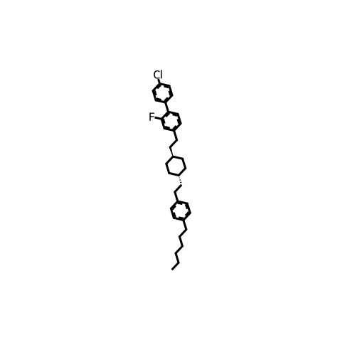 CCCCCCc1ccc(CC[C@H]2CC[C@H](CCc3ccc(-c4ccc(Cl)cc4)c(F)c3)CC2)cc1